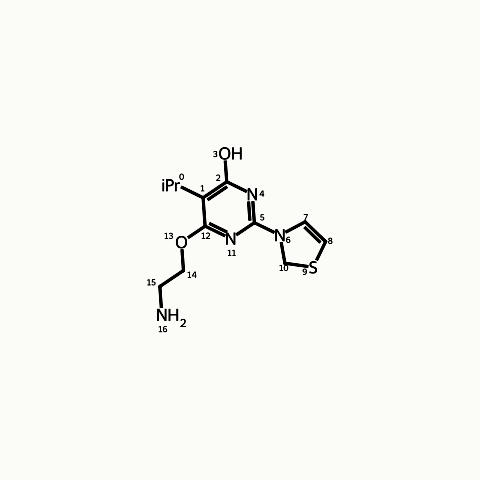 CC(C)c1c(O)nc(N2C=CSC2)nc1OCCN